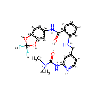 CN(C)C(=O)Nc1cc(CNc2ccccc2C(=O)Nc2ccc3c(c2)OC(F)(F)O3)ccn1